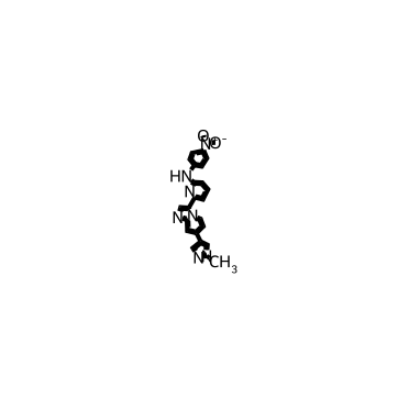 Cn1cc(-c2ccn3c(-c4cccc(Nc5ccc([N+](=O)[O-])cc5)n4)cnc3c2)cn1